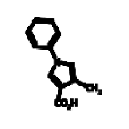 Cc1cn(-c2ccccc2)cc1C(=O)O